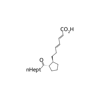 CCCCCCCC(=O)[C@H]1CCC[C@@H]1CCC=CC=CC(=O)O